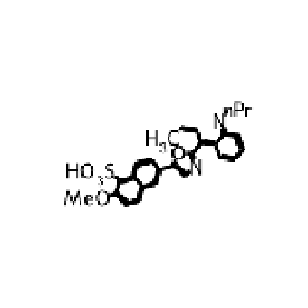 C\C=C/C(=C1/C=CC=C/C1=N\CCC)c1ncc(-c2ccc3c(S(=O)(=O)O)c(OC)ccc3c2)o1